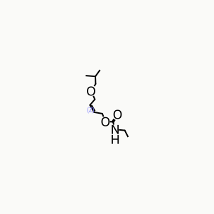 CCNC(=O)OC/C=C\COCC(C)C